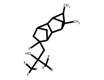 CC1C(C)C2CC1C1C3CC(C21)C(F)(CC(O)(C(F)(F)F)C(F)(F)F)C3